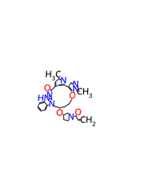 C=CC(=O)N1CCC(OC2CCCOc3c(cnn3C)-c3cc(cc(C)n3)C(=O)/N=C3\Nc4ccccc4N3C2)C1